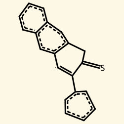 S=C1Cc2cc3ccccc3cc2[C]=C1c1ccccc1